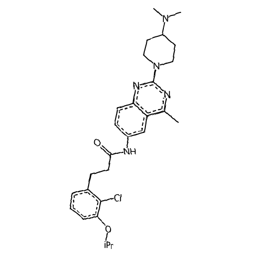 Cc1nc(N2CCC(N(C)C)CC2)nc2ccc(NC(=O)CCc3cccc(OC(C)C)c3Cl)cc12